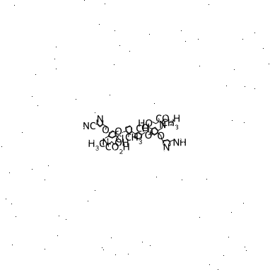 Cc1c(COc2cc(OCc3cncc(C#N)c3)c(CN(C)[C@@H](CCO)C(=O)O)cc2Cl)cccc1-c1cccc(COc2cc(OCc3cncc(C=N)c3)c(CN(C)[C@@H](CCO)C(=O)O)cc2Cl)c1C